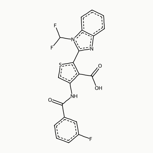 O=C(Nc1csc(-c2nc3ccccc3n2C(F)F)c1C(=O)O)c1cccc(F)c1